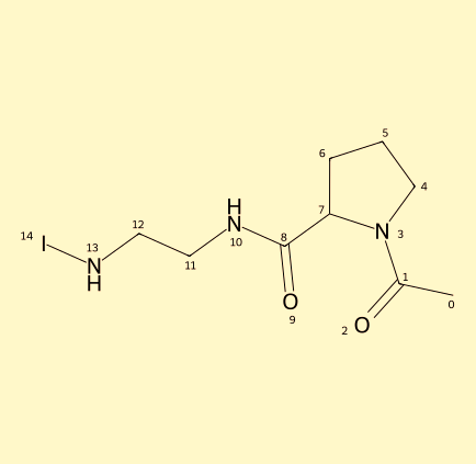 CC(=O)N1CCCC1C(=O)NCCNI